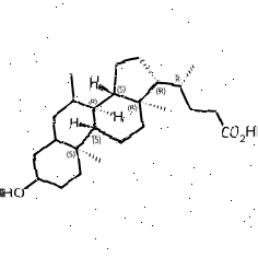 CC1CC2CC(O)CC[C@]2(C)[C@H]2CC[C@]3(C)[C@@H]([C@H](C)CCC(=O)O)CC[C@H]3[C@H]12